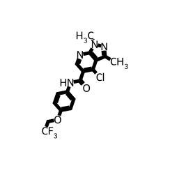 Cc1nn(C)c2ncc(C(=O)Nc3ccc(OCC(F)(F)F)cc3)c(Cl)c12